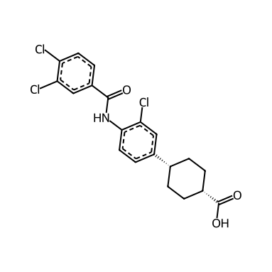 O=C(Nc1ccc([C@H]2CC[C@@H](C(=O)O)CC2)cc1Cl)c1ccc(Cl)c(Cl)c1